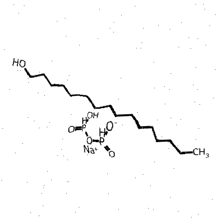 CCCCCCCCCCCCCCCCO.O=[PH]([O-])O[PH](=O)O.[Na+]